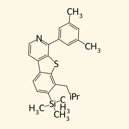 Cc1cc(C)cc(-c2nccc3c2sc2c(CC(C)C)c([Si](C)(C)C)ccc23)c1